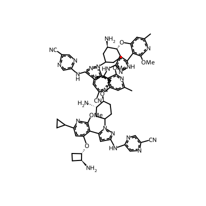 COc1nc(C)cc(O[C@@H]2CCC(n3nc(Nc4cnc(C#N)cn4)cc3-c3c(O[C@H]4CCC(n5nc(Nc6cnc(C#N)cn6)cc5-c5c(O[C@H]6CC[C@@H]6N)cc(C6CC6)nc5OC)C[C@@H]4N)cc(C)nc3OC)C[C@H]2N)c1-c1cc(Nc2cnc(C#N)cn2)n[nH]1